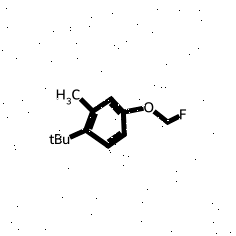 Cc1cc(OCF)ccc1C(C)(C)C